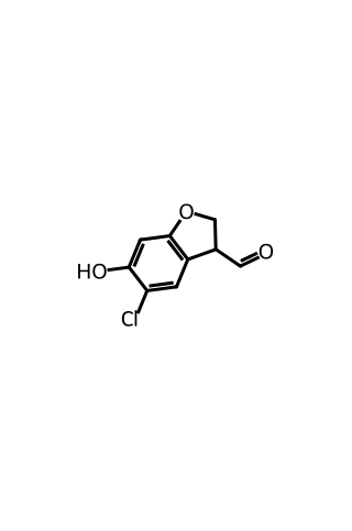 O=CC1COc2cc(O)c(Cl)cc21